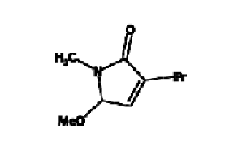 COC1C=C(C(C)C)C(=O)N1C